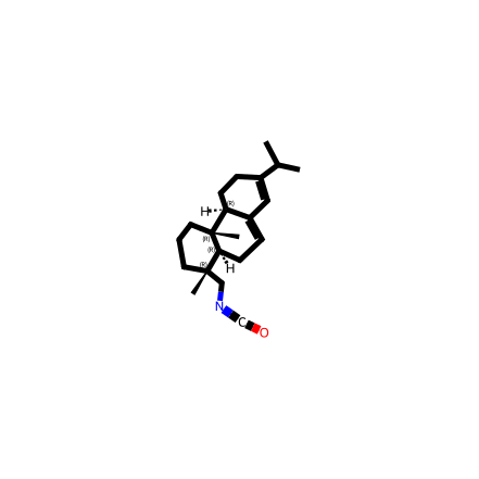 CC(C)C1=CC2=CC[C@H]3[C@](C)(CN=C=O)CCC[C@]3(C)[C@H]2CC1